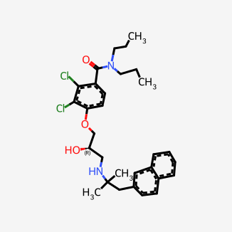 CCCN(CCC)C(=O)c1ccc(OC[C@H](O)CNC(C)(C)Cc2ccc3ccccc3c2)c(Cl)c1Cl